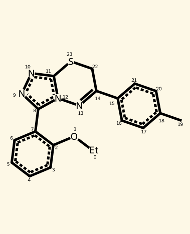 CCOc1ccccc1-c1nnc2n1N=C(c1ccc(C)cc1)CS2